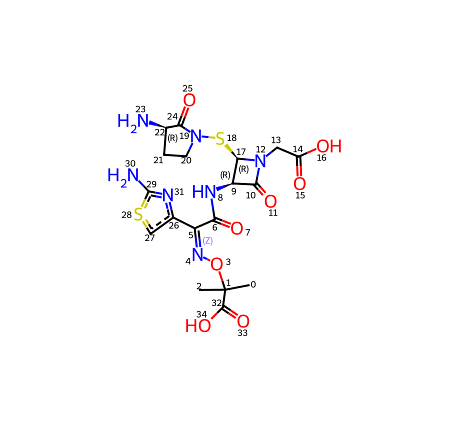 CC(C)(O/N=C(\C(=O)N[C@@H]1C(=O)N(CC(=O)O)[C@@H]1SN1CC[C@@H](N)C1=O)c1csc(N)n1)C(=O)O